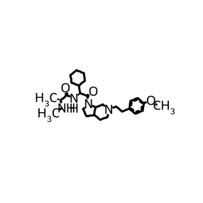 CN[C@@H](C)C(=O)N[C@H](C(=O)N1CCC2CCN(CCc3ccc(OC)cc3)CC21)C1CCCCC1